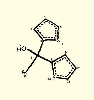 CC(=O)C(O)(c1cccs1)c1cccs1